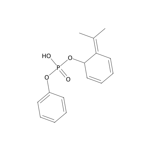 CC(C)=C1C=CC=CC1OP(=O)(O)Oc1ccccc1